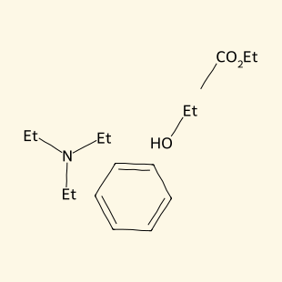 CCN(CC)CC.CCO.CCOC(C)=O.c1ccccc1